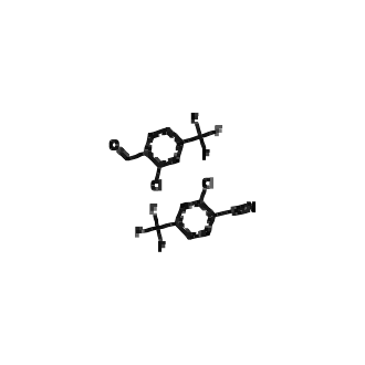 N#Cc1ccc(C(F)(F)F)cc1Cl.O=Cc1ccc(C(F)(F)F)cc1Cl